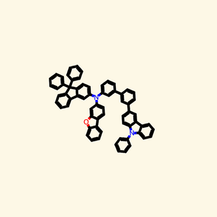 c1ccc(-n2c3ccccc3c3cc(-c4cccc(-c5cccc(N(c6ccc7c(c6)-c6ccccc6C7(c6ccccc6)c6ccccc6)c6ccc7c(c6)oc6ccccc67)c5)c4)ccc32)cc1